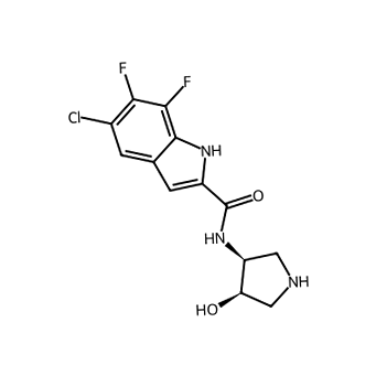 O=C(N[C@H]1CNC[C@H]1O)c1cc2cc(Cl)c(F)c(F)c2[nH]1